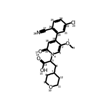 COc1cn(C(CC2CCOCC2)C(=O)O)c(=O)cc1-c1cc(Cl)ccc1C#N